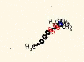 CCCCC[C@H]1CC[C@H](c2ccc(-c3ccc(OC(=O)CCC(=O)OC4CC(C)(C)N(C)C(C)(C)C4)cc3)cc2)CC1